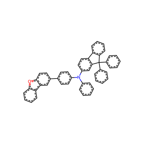 c1ccc(N(c2ccc(-c3ccc4oc5ccccc5c4c3)cc2)c2ccc3c(c2)C(c2ccccc2)(c2ccccc2)c2ccccc2-3)cc1